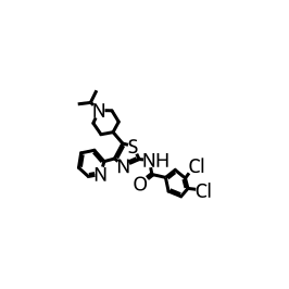 CC(C)N1CCC(c2sc(NC(=O)c3ccc(Cl)c(Cl)c3)nc2-c2ccccn2)CC1